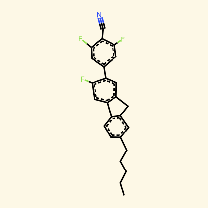 CCCCCc1ccc2c(c1)Cc1cc(-c3cc(F)c(C#N)c(F)c3)c(F)cc1-2